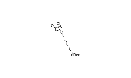 CCCCCCCCCCCCCCCCCCOC1CC(=O)C1(Cl)Cl